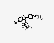 COc1ccc(-c2nn3ccc(Br)cc3c2C=[N+](C)C)cc1.[Cl-]